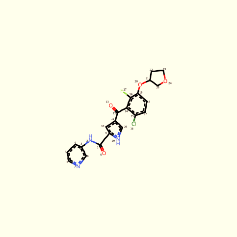 O=C(Nc1cccnc1)c1cc(C(=O)c2c(Cl)ccc(OC3CCOC3)c2F)c[nH]1